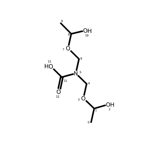 CC(O)OCN(COC(C)O)C(=O)O